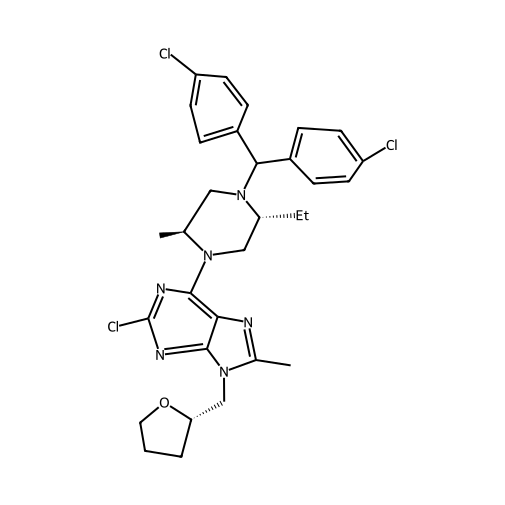 CC[C@@H]1CN(c2nc(Cl)nc3c2nc(C)n3C[C@@H]2CCCO2)[C@@H](C)CN1C(c1ccc(Cl)cc1)c1ccc(Cl)cc1